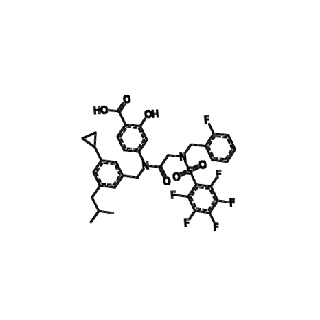 CC(C)Cc1cc(CN(C(=O)CN(Cc2ccccc2F)S(=O)(=O)c2c(F)c(F)c(F)c(F)c2F)c2ccc(C(=O)O)c(O)c2)cc(C2CC2)c1